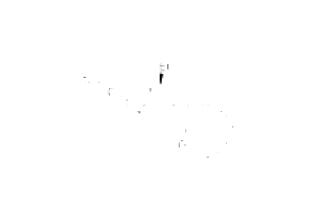 CC[C@H](N=C=S)[C@@H]1CCCCO1